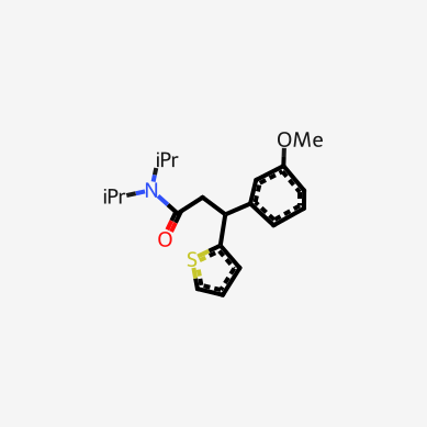 COc1cccc(C(CC(=O)N(C(C)C)C(C)C)c2cccs2)c1